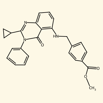 COC(=O)c1ccc(CNc2cccc3nc(C4CC4)n(-c4ccccc4)c(=O)c23)cc1